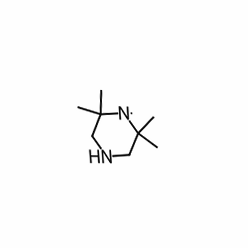 CC1(C)CNCC(C)(C)[N]1